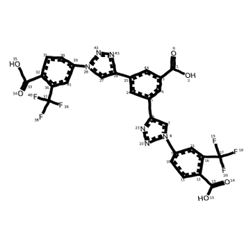 O=C(O)c1cc(-c2cn(-c3ccc(C(=O)O)c(C(F)(F)F)c3)nn2)cc(-c2cn(-c3ccc(C(=O)O)c(C(F)(F)F)c3)nn2)c1